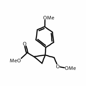 COOCC1(c2ccc(OC)cc2)CC1C(=O)OC